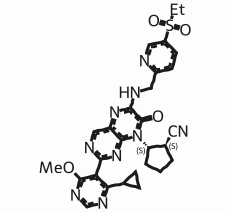 CCS(=O)(=O)c1ccc(CNc2nc3cnc(-c4c(OC)ncnc4C4CC4)nc3n([C@H]3CCC[C@@H]3C#N)c2=O)nc1